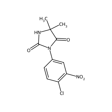 CC1(C)NC(=O)N(c2ccc(Cl)c([N+](=O)[O-])c2)C1=O